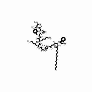 CCCCCCCCCCCCCC(=O)N[C@@H](Cc1c[nH]c2ccccc12)C(=O)NCC(=O)NCC(=O)N[C@@H](C)C(=O)N[C@@H](CCCCN)C(=O)N[C@@H](CCCCN)C(=O)N[C@@H](Cc1ccc(O)cc1)C(=O)N[C@@H](CC(N)=O)C(=O)N[C@@H](C)C(=O)O